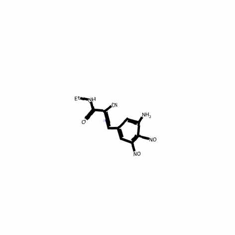 CCNC(=O)/C(C#N)=C/c1cc(N)c(N=O)c(N=O)c1